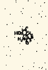 Cc1cccc(O)c1.NC(=O)c1cccnc1